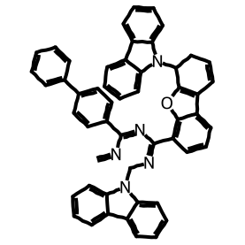 C=N/C(=N\C(=N/Cn1c2ccccc2c2ccccc21)c1cccc2c3c(oc12)C(n1c2ccccc2c2ccccc21)CC=C3)c1ccc(-c2ccccc2)cc1